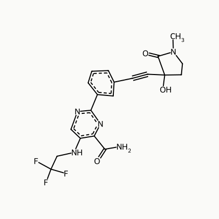 CN1CCC(O)(C#Cc2cccc(-c3ncc(NCC(F)(F)F)c(C(N)=O)n3)c2)C1=O